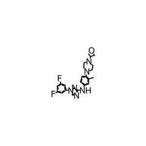 Cc1cc(Nc2ncn(-c3cc(F)cc(F)c3)n2)ccc1N1CCN(C2COC2)CC1